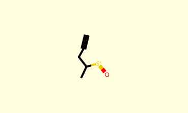 C#CCC(C)[S+]=O